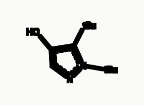 CC(C)(C)c1c(O)cnn1C(C)(C)C